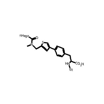 CCCCCCCC(=O)N(C)Cc1cc(-c2ccc(CC(NCC)C(=O)O)cc2)cs1